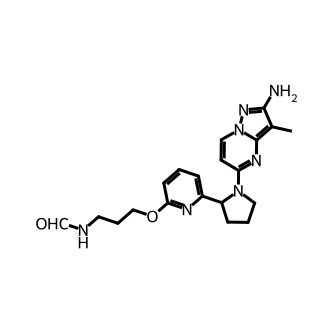 Cc1c(N)nn2ccc(N3CCCC3c3cccc(OCCCNC=O)n3)nc12